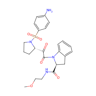 COCCNC(=O)[C@@H]1Cc2ccccc2N1C(=O)C(=O)[C@@H]1CCCN1S(=O)(=O)c1ccc(N)cc1